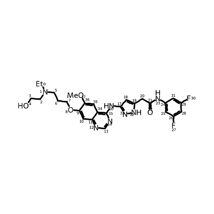 CCN(CCO)CCCOc1cc2ncnc(Nc3cc(CC(=O)Nc4cc(F)cc(F)c4)[nH]n3)c2cc1OC